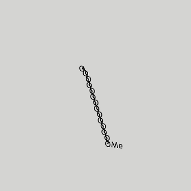 COCCOCCOCCOCCOCCOCCOCCOCCOCCOCCOCCOCCOCC1CO1